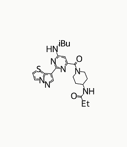 CCC(=O)NC1CCN(C(=O)c2cc(N[C@@H](C)CC)nc(-c3cnn4ccsc34)n2)CC1